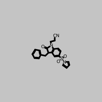 N#CCCN1C(=O)C(Cc2ccccc2)c2cc(S(=O)(=O)n3cccc3)ccc21